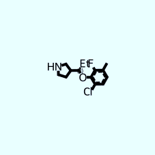 CC[C@@H](Oc1c(Cl)ccc(C)c1F)C1CCNC1